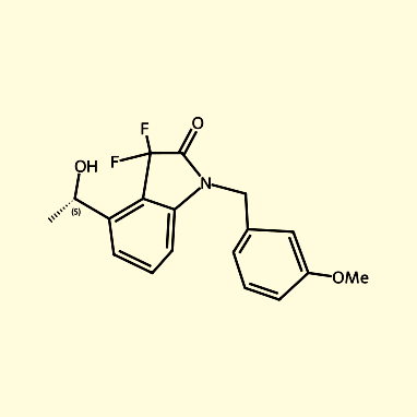 COc1cccc(CN2C(=O)C(F)(F)c3c([C@H](C)O)cccc32)c1